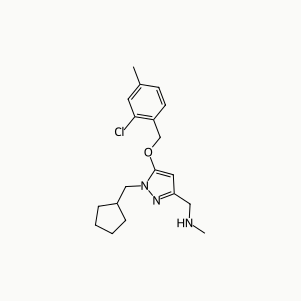 CNCc1cc(OCc2ccc(C)cc2Cl)n(CC2CCCC2)n1